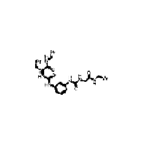 CC(C)CNC(=O)CNC(=O)Nc1cccc(NC(=O)N[C@@H](CC(C)C)C(=O)NCC(C)C)c1